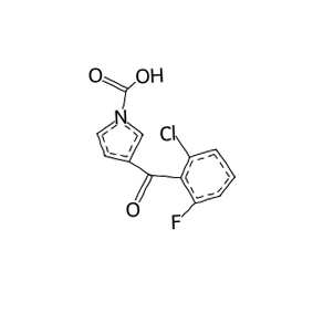 O=C(c1ccn(C(=O)O)c1)c1c(F)cccc1Cl